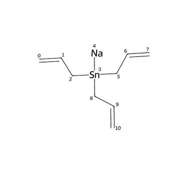 C=C[CH2][Sn]([Na])([CH2]C=C)[CH2]C=C